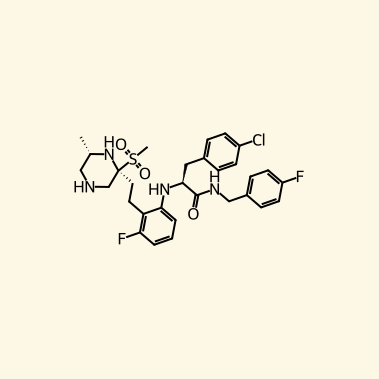 C[C@H]1CNC[C@](CCc2c(F)cccc2N[C@@H](Cc2ccc(Cl)cc2)C(=O)NCc2ccc(F)cc2)(S(C)(=O)=O)N1